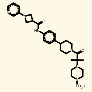 CC(C)(C(=O)N1CCC(c2ccc(NC(=O)C3CN(c4cccnc4)C3)cc2)CC1)N1CCN(C(=O)O)CC1